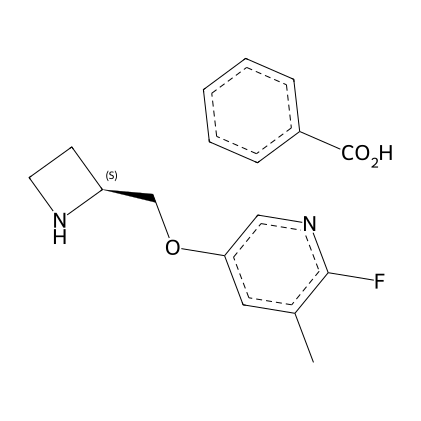 Cc1cc(OC[C@@H]2CCN2)cnc1F.O=C(O)c1ccccc1